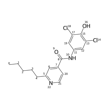 CCCCCc1cc(C(=O)Nc2cc(Cl)c(O)c(Cl)c2)ccn1